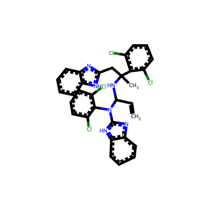 C=CC(NC(C)(Cc1nc2ccccc2[nH]1)c1c(Cl)cccc1Cl)N(c1nc2ccccc2[nH]1)c1c(Cl)cccc1Cl